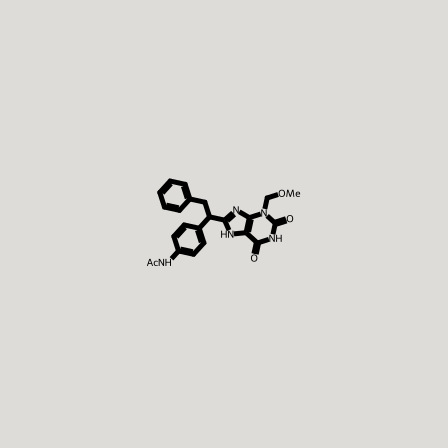 COCn1c(=O)[nH]c(=O)c2[nH]c(C(Cc3ccccc3)c3ccc(NC(C)=O)cc3)nc21